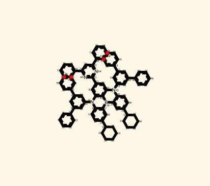 c1ccc(-c2cc(-c3ccccc3)cc(N3c4ccc(C5CCCCC5)cc4B4c5cc(C6CCCCC6)ccc5N(c5cc(-c6ccccc6)cc(-c6ccccc6)c5)c5cc(-c6nc(-c7ccccc7)cc(-c7ccccc7)n6)cc3c54)c2)cc1